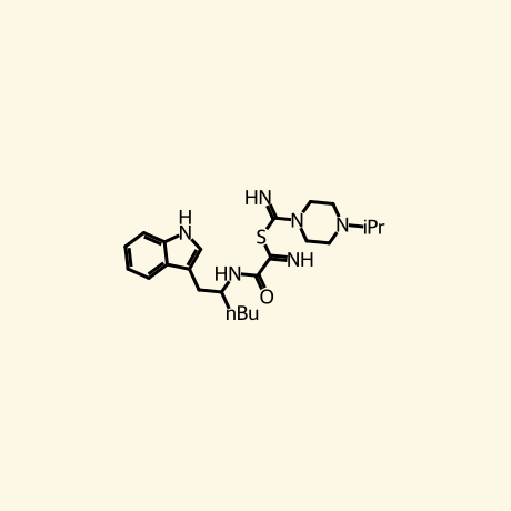 CCCCC(Cc1c[nH]c2ccccc12)NC(=O)C(=N)SC(=N)N1CCN(C(C)C)CC1